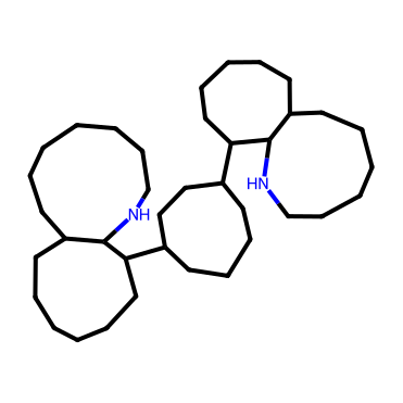 C1CCCNC2C(CCC1)CCCCCCC2C1CCCCC(C2CCCCCC3CCCCCCNC32)CC1